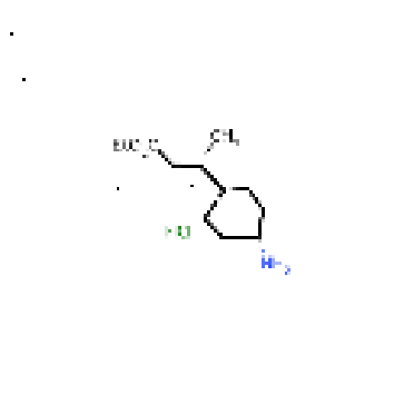 CCOC(=O)C[C@H](C)[C@H]1CC[C@H](N)CC1.Cl